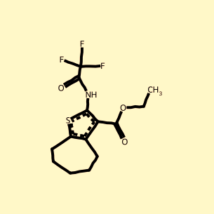 CCOC(=O)c1c(NC(=O)C(F)(F)F)sc2c1CCCCC2